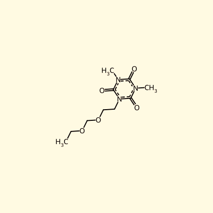 CCOCOCCn1c(=O)n(C)c(=O)n(C)c1=O